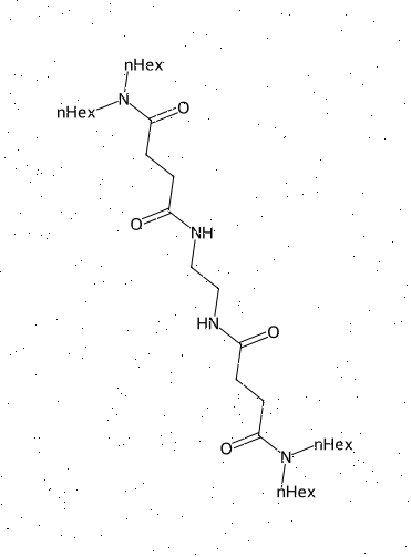 CCCCCCN(CCCCCC)C(=O)CCC(=O)NCCNC(=O)CCC(=O)N(CCCCCC)CCCCCC